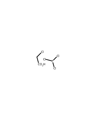 ClP(Cl)Cl.O=C(O)CCl